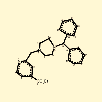 CCOC(=O)c1ccnc(CN2CCN(C(c3ccccc3)c3ccccc3)CC2)c1